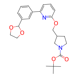 CC(C)(C)OC(=O)N1CCC(COc2cccc(-c3cccc(C4OCCO4)c3)n2)C1